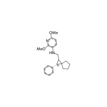 COc1ccc(NCC2[C@@H](c3ccccc3)C23CCCC3)c(OC)n1